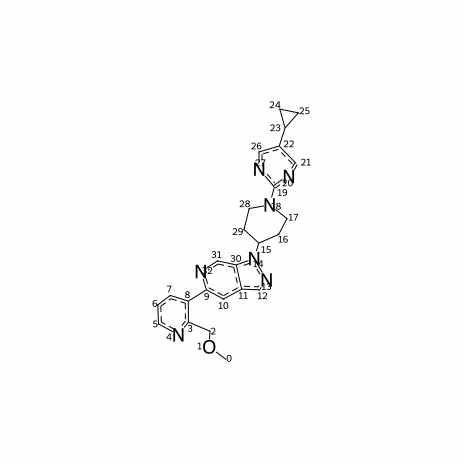 COCc1ncccc1-c1cc2cnn(C3CCN(c4ncc(C5CC5)cn4)CC3)c2cn1